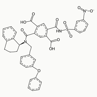 O=C(O)c1cc(C(=O)N(Cc2cccc(Oc3ccccc3)c2)[C@H]2CCCc3ccccc32)c(C(=O)O)cc1C(=O)NS(=O)(=O)c1cccc([N+](=O)[O-])c1